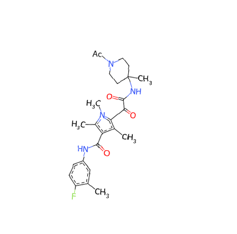 CC(=O)N1CCC(C)(NC(=O)C(=O)c2c(C)c(C(=O)Nc3ccc(F)c(C)c3)c(C)n2C)CC1